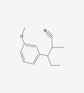 CCC(c1cccc(OC)c1)C(C)C#N